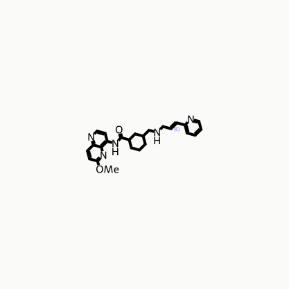 COc1ccc2nccc(NC(=O)C3CCCC(CNC/C=C/c4ccccn4)C3)c2n1